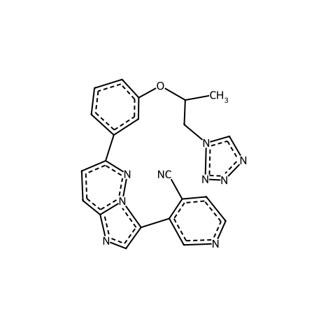 CC(Cn1cnnn1)Oc1cccc(-c2ccc3ncc(-c4cnccc4C#N)n3n2)c1